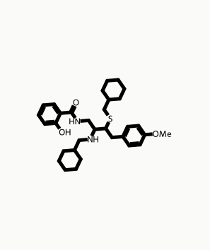 COc1ccc(CC(SCC2CCCCC2)C(CNC(=O)c2ccccc2O)NCC2CCCCC2)cc1